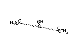 COC(=O)CCCCCCCCCCCN(CCO)CCCCCCCCCCCC(=O)OC